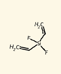 C=C[Si](F)(F)C=C